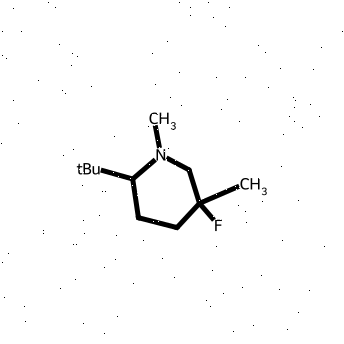 CN1CC(C)(F)CCC1C(C)(C)C